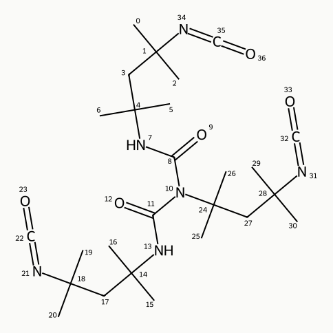 CC(C)(CC(C)(C)NC(=O)N(C(=O)NC(C)(C)CC(C)(C)N=C=O)C(C)(C)CC(C)(C)N=C=O)N=C=O